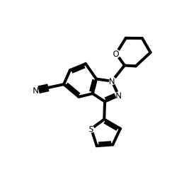 N#Cc1ccc2c(c1)c(-c1cccs1)nn2C1CCCCO1